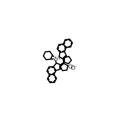 C1=C(C2CCCC2)[CH]([Zr+2]2([CH]3C(C4CCCC4)=Cc4c3ccc3ccccc43)[CH]3CCCC[CH]32)c2ccc3ccccc3c21.[Cl-].[Cl-]